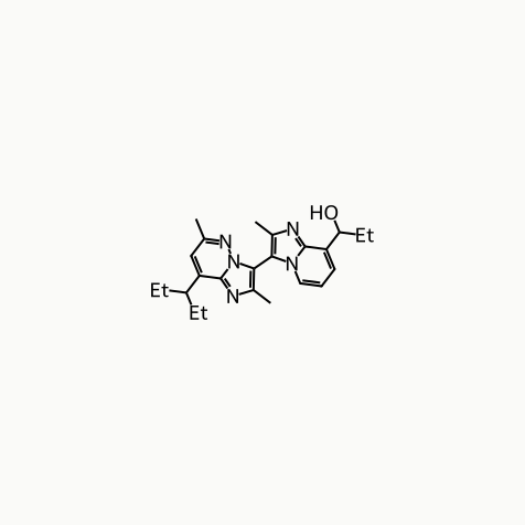 CCC(O)c1cccn2c(-c3c(C)nc4c(C(CC)CC)cc(C)nn34)c(C)nc12